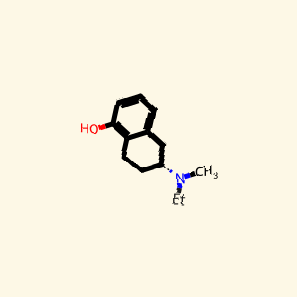 CCN(C)[C@@H]1CCc2c(O)cccc2C1